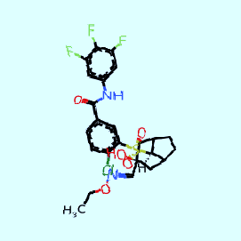 CCO/N=C/[C@]1(O)CC2CCC(C1)[C@H]2S(=O)(=O)c1cc(C(=O)Nc2cc(F)c(F)c(F)c2)ccc1Cl